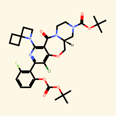 CC(C)(C)OC(=O)Oc1cccc(F)c1-c1nc(N2CCC23CCC3)c2c(c1Cl)OC[C@H]1CN(C(=O)OC(C)(C)C)CCN1C2=O